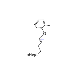 CCCCCCCCC/C=C/Oc1ccccc1C